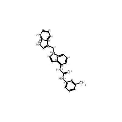 Cc1cccc(NC(=O)Nc2cccc3c2ccn3Cc2c[nH]c3ncccc23)c1